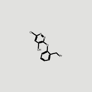 CC(C)Cc1ccccc1Oc1nnc(Cl)cc1O